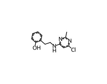 Cc1nc(Cl)cc(NCCc2ccccc2O)n1